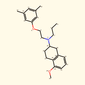 CCCN(CCOc1cc(C)cc(C)c1)C1CCc2c(cccc2OC)C1